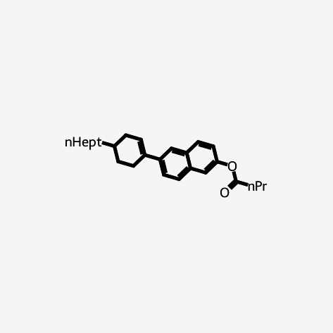 CCCCCCCC1CC=C(c2ccc3cc(OC(=O)CCC)ccc3c2)CC1